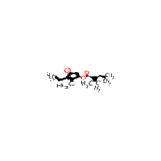 C=CCC1=C(C)[C@H](OC(=O)[C@@H]2[C@@H](C=C(C)C)C2(C)C)CC1=O